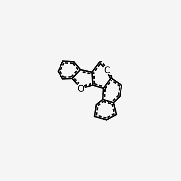 c1ccc2c(c1)ccc1ccc3c4ccccc4oc3c12